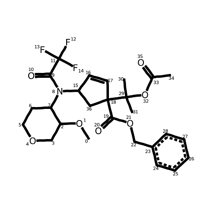 COC1COCCC1N(C(=O)C(F)(F)F)C1C=CC(C(=O)OCc2ccccc2)(C(C)(C)OC(C)=O)C1